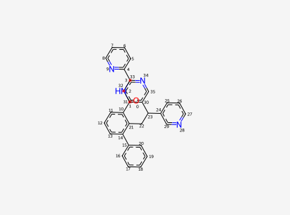 O=C(NCc1ccccn1)c1cccc(-c2ccccc2)c1CC(c1cccnc1)c1cccnc1